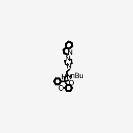 CCCCNC(=O)C1(CCCCN2CCN(c3ccc4ccccc4n3)CC2)c2ccccc2Oc2ccccc21